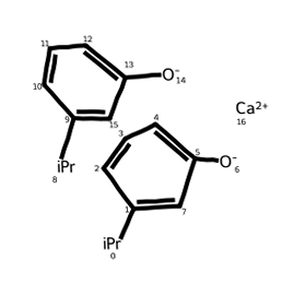 CC(C)c1cccc([O-])c1.CC(C)c1cccc([O-])c1.[Ca+2]